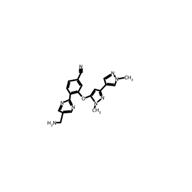 Cn1cc(-c2cc(Oc3cc(C#N)ccc3-c3ncc(CN)cn3)n(C)n2)cn1